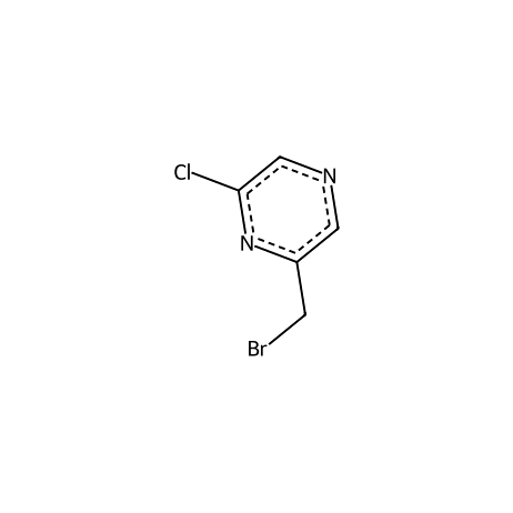 Clc1cncc(CBr)n1